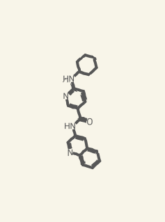 O=C(Nc1cnc2ccccc2c1)c1ccc(NC2CCCCC2)nc1